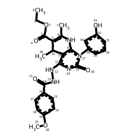 CCOC(=O)C1=C(C)Nc2c(c(NNC(=O)c3ccc(OC)cc3)nc(=O)n2-c2cccc(O)c2)C1C